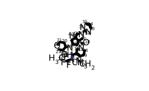 C=NC1=C(/C=C(\C)C(F)(F)F)CN(C(=O)[C@]23C[C@H](NC4CCOCC4OC)C[C@H]2CN(c2ncccn2)C3)CC1